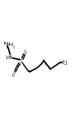 NNS(=O)(=O)CCCCl